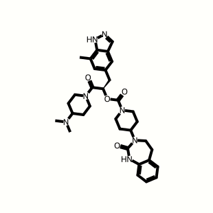 Cc1cc(C[C@@H](OC(=O)N2CCC(N3CCc4ccccc4NC3=O)CC2)C(=O)N2CCC(N(C)C)CC2)cc2cn[nH]c12